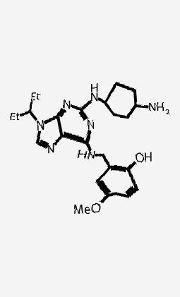 CCC(CC)n1cnc2c(NCc3cc(OC)ccc3O)nc(NC3CCC(N)CC3)nc21